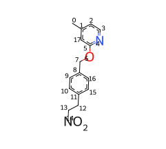 Cc1ccnc(OCc2ccc(CC[N+](=O)[O-])cc2)c1